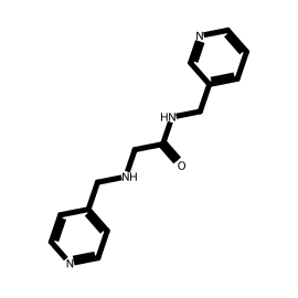 O=C(CNCc1ccncc1)NCc1cccnc1